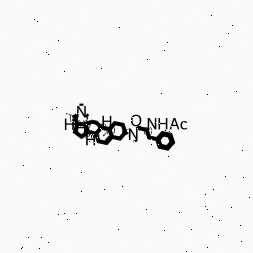 CC(=O)N[C@H](Cc1ccccc1)C(=O)N(C)[C@H]1CC[C@@]2(C)C(=CC[C@H]3[C@@H]4CC[C@@H]5[C@H](C)N(C)C[C@@]54CC[C@@H]32)C1